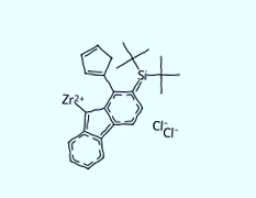 CC(C)(C)[Si](=c1ccc2c(c1C1=CC=CC1)[C]([Zr+2])=c1ccccc1=2)C(C)(C)C.[Cl-].[Cl-]